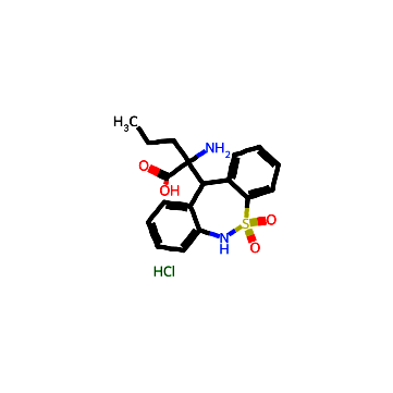 CCCC(N)(C(=O)O)C1c2ccccc2NS(=O)(=O)c2ccccc21.Cl